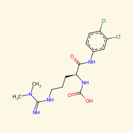 CN(C)C(=N)NCCC[C@H](NC(=O)O)C(=O)Nc1ccc(Cl)c(Cl)c1